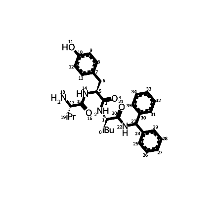 CC[C@H](C)[C@H](NC(=O)[C@H](Cc1ccc(O)cc1)NC(=O)[C@@H](N)C(C)C)C(=O)NC(c1ccccc1)c1ccccc1